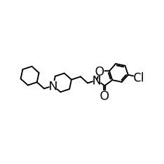 O=c1c2cc(Cl)ccc2on1CCC1CCN(CC2CCCCC2)CC1